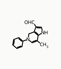 CC1=CN(c2ccccc2)Cc2c(C=O)c[nH]c21